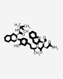 C[C@@H](CCc1ccc(N2CC3CCCCC3C[C@H]2C(=O)NC(C)(C)C)c(O)c1)NC(=O)[C@H](CC(N)=O)N(C=O)c1ccc2ccccc2n1